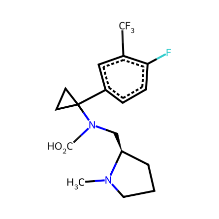 CN1CCC[C@@H]1CN(C(=O)O)C1(c2ccc(F)c(C(F)(F)F)c2)CC1